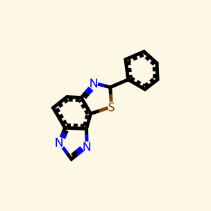 C1=Nc2c3c(ccc2=N1)=NC(c1ccccc1)S3